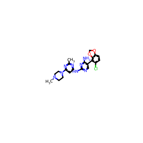 Cc1nc(Nc2ncc(-c3c(Cl)ccc4c3OCO4)c(N)n2)cc(N2CCN(C)CC2)n1